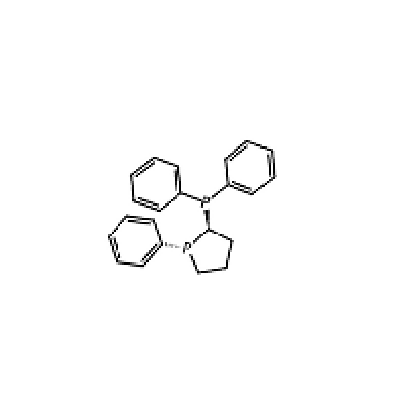 c1ccc(P(c2ccccc2)[C@H]2CCC[P@]2c2ccccc2)cc1